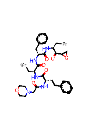 CC(C)C[C@H](NC(=O)[C@H](CCc1ccccc1)NC(=O)CN1CCOCC1)C(=O)N[C@@H](Cc1ccccc1)C(=O)N[C@@H](CC(C)C)C(=O)C1CO1